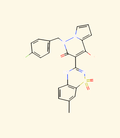 Cc1ccc2c(c1)S(=O)(=O)N=C(c1c(O)c3cccn3n(Cc3ccc(F)cc3)c1=O)N2